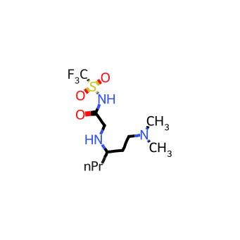 CCCC(CCN(C)C)NCC(=O)NS(=O)(=O)C(F)(F)F